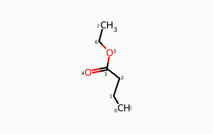 [CH]CCC(=O)OCC